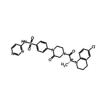 C[C@H](C(=O)N1CCN(c2ccc(S(=O)(=O)Nc3ccncn3)cc2)C(=O)C1)N1CCCc2cc(Cl)ccc21